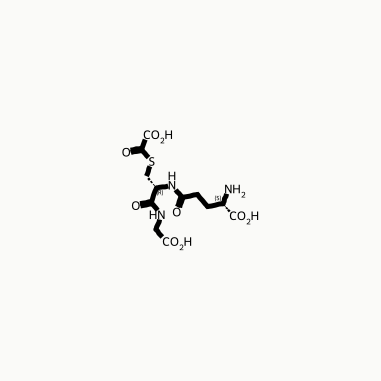 N[C@@H](CCC(=O)N[C@@H](CSC(=O)C(=O)O)C(=O)NCC(=O)O)C(=O)O